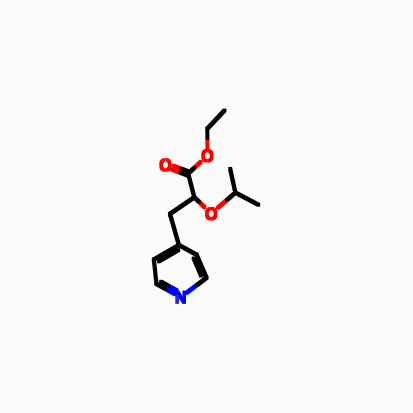 CCOC(=O)C(Cc1ccncc1)OC(C)C